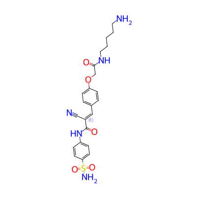 N#C/C(=C\c1ccc(OCC(=O)NCCCCCN)cc1)C(=O)Nc1ccc(S(N)(=O)=O)cc1